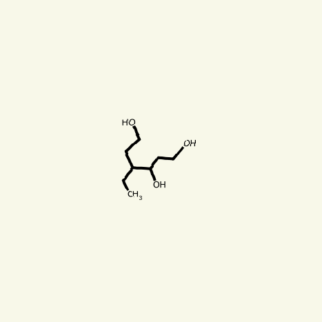 CCC(CCO)C(O)CCO